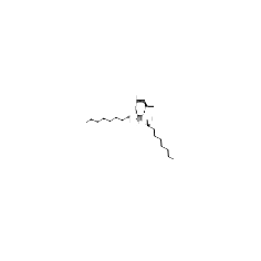 CCCC.CCCCCCCCO[PH](=O)OCCCCCCCC